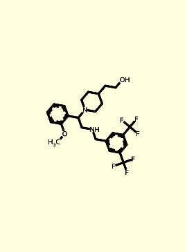 COc1ccccc1C(CNCc1cc(C(F)(F)F)cc(C(F)(F)F)c1)N1CCC(CCO)CC1